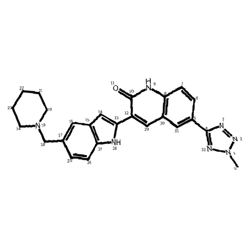 Cn1nnc(-c2ccc3[nH]c(=O)c(-c4cc5cc(CN6CCCCC6)ccc5[nH]4)cc3c2)n1